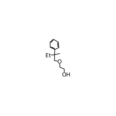 CCC(C)(COCCO)c1ccccc1